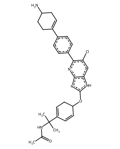 CC(=O)NC(C)(C)C1=CCC(Oc2nc3nc(-c4ccc(C5=CCC(N)CC5)cc4)c(Cl)cc3[nH]2)C=C1